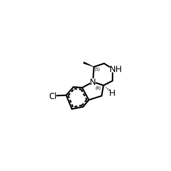 C[C@H]1CNC[C@H]2Cc3ccc(Cl)cc3N21